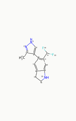 Cc1n[nH]cc1-c1cc2c(cc1C(F)F)NCC2